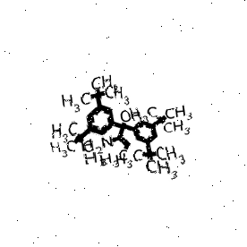 CCC(N)C(O)(c1cc(C(C)(C)C)cc(C(C)(C)C)c1)c1cc(C(C)(C)C)cc(C(C)(C)C)c1